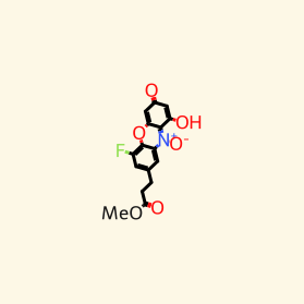 COC(=O)CCc1cc(F)c2oc3cc(=O)cc(O)c-3[n+]([O-])c2c1